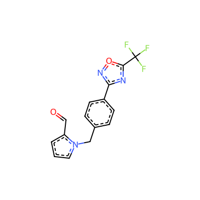 O=Cc1cccn1Cc1ccc(-c2noc(C(F)(F)F)n2)cc1